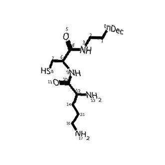 CCCCCCCCCCCCNC(=O)C(CS)NC(=O)C(N)CCCN